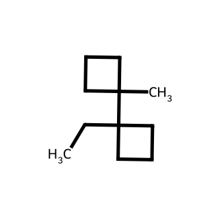 CCC1(C2(C)CCC2)CCC1